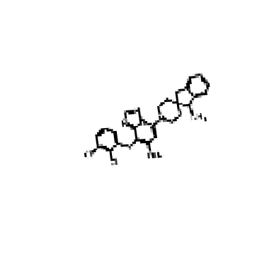 Nc1cc(N2CCC3(CC2)Cc2ccccc2C3N)n2ncnc2c1Sc1cccc(Cl)c1Cl